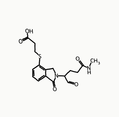 CNC(=O)CCC(C=O)N1Cc2c(SCCC(=O)O)cccc2C1=O